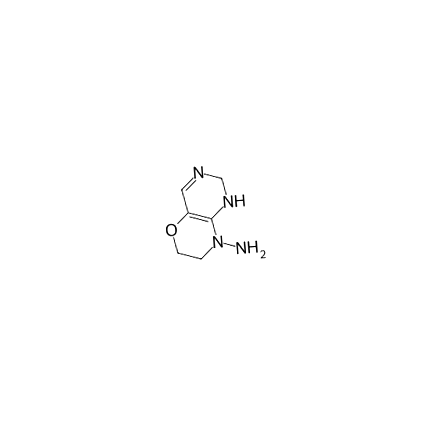 NN1CCOC2=C1NCN=C2